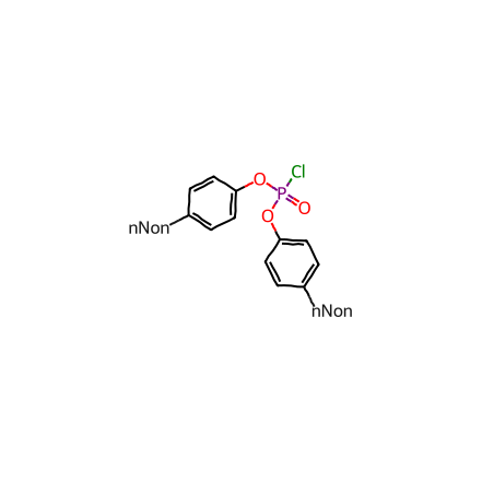 CCCCCCCCCc1ccc(OP(=O)(Cl)Oc2ccc(CCCCCCCCC)cc2)cc1